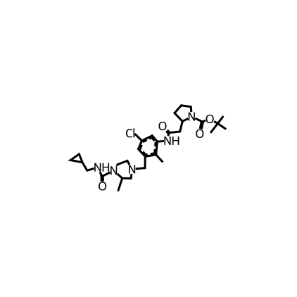 Cc1c(CN2CCN(C(=O)NCC3CC3)C(C)C2)cc(Cl)cc1NC(=O)CC1CCCN1C(=O)OC(C)(C)C